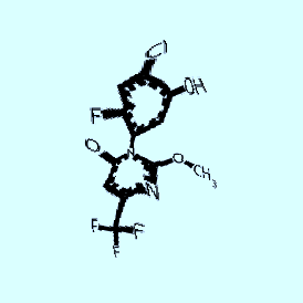 COc1nc(C(F)(F)F)cc(=O)n1-c1cc(O)c(Cl)cc1F